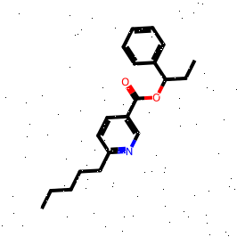 CCCCCc1ccc(C(=O)OC(CC)c2ccccc2)cn1